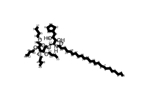 CCCCCCCCCCCCCCCCCCCCCCCC(=O)N[C@@H](COC1OC(COCCCC)C(OCCCC)C(OCCCC)C1OCCCC)[C@H](O)[C@H](O)CC1CCCC1